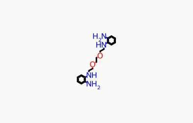 Nc1ccccc1NCCOCCOCCNc1ccccc1N